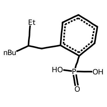 CCCCC(CC)Cc1ccccc1P(=O)(O)O